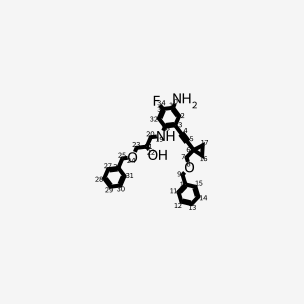 Nc1cc(C#CC2(COCc3ccccc3)CC2)c(NCC(O)COCc2ccccc2)cc1F